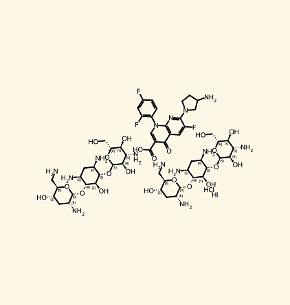 Cl.I.NC1CCN(c2nc3c(cc2F)c(=O)c(C(=O)O)cn3-c2ccc(F)cc2F)C1.NC[C@H]1O[C@H](O[C@H]2[C@H](O)[C@@H](O[C@H]3O[C@H](CO)[C@@H](O)[C@H](N)[C@H]3O)[C@H](N)C[C@@H]2N)[C@H](N)C[C@@H]1O.NC[C@H]1O[C@H](O[C@H]2[C@H](O)[C@@H](O[C@H]3O[C@H](CO)[C@@H](O)[C@H](N)[C@H]3O)[C@H](N)C[C@@H]2N)[C@H](N)C[C@@H]1O